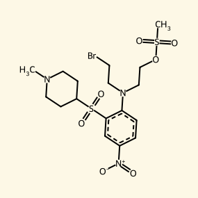 CN1CCC(S(=O)(=O)c2cc([N+](=O)[O-])ccc2N(CCBr)CCOS(C)(=O)=O)CC1